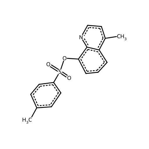 Cc1ccc(S(=O)(=O)Oc2cccc3c(C)ccnc23)cc1